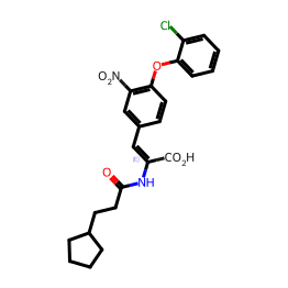 O=C(CCC1CCCC1)N/C(=C/c1ccc(Oc2ccccc2Cl)c([N+](=O)[O-])c1)C(=O)O